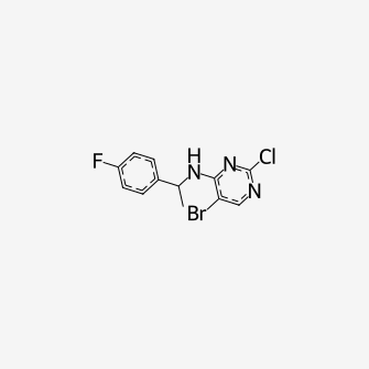 CC(Nc1nc(Cl)ncc1Br)c1ccc(F)cc1